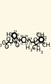 CC(=O)C(O)Cn1c(=O)n(C2CCN(CCC(Oc3cc(C)ccc3C)C(C)C)CC2)c2ccccc21